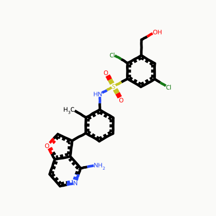 Cc1c(NS(=O)(=O)c2cc(Cl)cc(CO)c2Cl)cccc1-c1coc2ccnc(N)c12